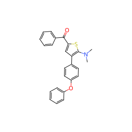 CN(C)c1sc(C(=O)c2ccccc2)cc1-c1ccc(Oc2ccccc2)cc1